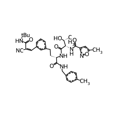 Cc1ccc(CNC(=O)[C@H](CCc2cccc(C=C(C#N)C(=O)NC(C)(C)C)c2)NC(=O)[C@@H](NC(=O)c2cc(C)on2)[C@@H](C)O)cc1